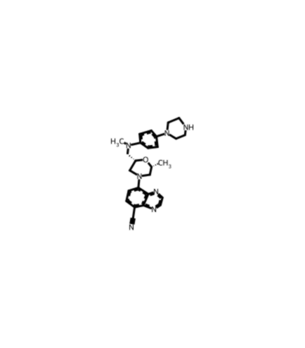 C[C@@H]1CN(c2ccc(C#N)c3nccnc23)C[C@H](CN(C)c2ccc(N3CCNCC3)cc2)O1